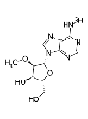 [2H]Nc1ncnc2c1ncn2[C@@H]1O[C@H](CO)[C@@H](O)[C@H]1OC